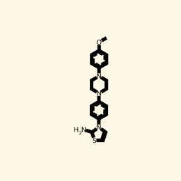 COc1ccc(N2CCN(c3ccc(N4C=CSC4N)cc3)CC2)cc1